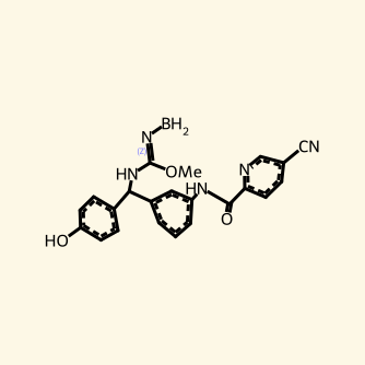 B/N=C(/NC(c1ccc(O)cc1)c1cccc(NC(=O)c2ccc(C#N)cn2)c1)OC